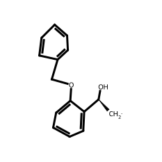 [CH2][C@H](O)c1ccccc1OCc1ccccc1